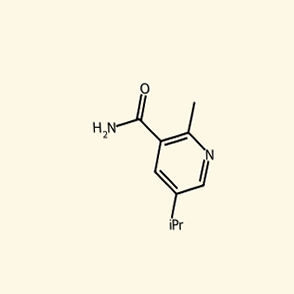 Cc1ncc(C(C)C)cc1C(N)=O